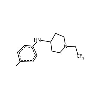 Cc1ccc(NC2CCN(CC(F)(F)F)CC2)cc1